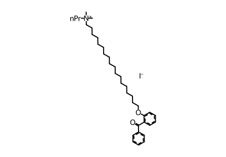 CCC[N+](C)(C)CCCCCCCCCCCCCCCCCCOc1ccccc1C(=O)c1ccccc1.[I-]